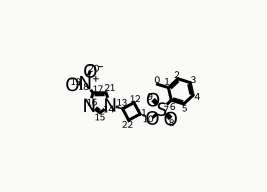 Cc1ccccc1S(=O)(=O)O[C@H]1C[C@H](n2cnc([N+](=O)[O-])c2)C1